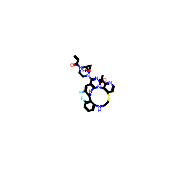 C=CC(=O)N1CCN(c2nc(=O)n3c4nc(c(F)cc24)-c2c(F)cccc2NCCSc2ccnc(C(C)C)c2-3)[C@@H]2C[C@@H]21